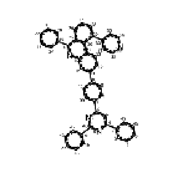 c1ccc(-c2cc(-c3ccc(-c4ccc5c(c4)nc(-c4ccccc4)c4cccc(-c6ccncc6)c45)cc3)nc(-c3ccccc3)n2)cc1